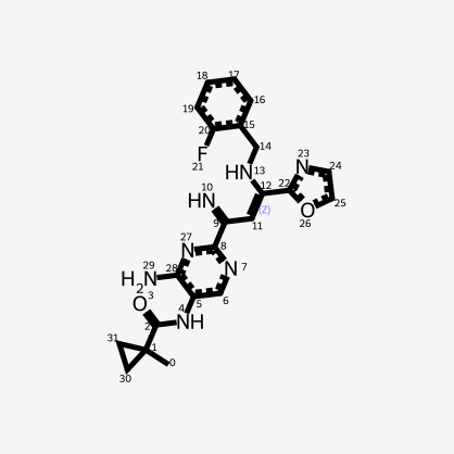 CC1(C(=O)Nc2cnc(C(=N)/C=C(\NCc3ccccc3F)c3ncco3)nc2N)CC1